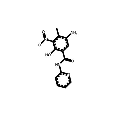 Cc1c(N)cc(C(=O)Nc2ccccn2)c(O)c1[N+](=O)[O-]